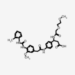 COCCOCC(=O)NC(CC(=O)O)c1ccc(NC(=O)Cc2ccc(NC(=O)Nc3ccccc3C)c(OC)c2)cc1